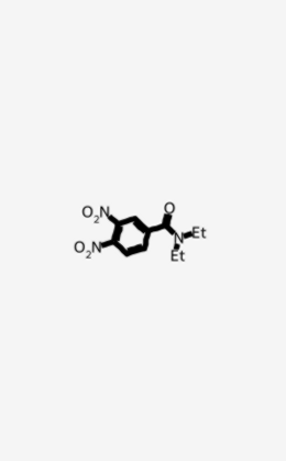 CCN(CC)C(=O)c1ccc([N+](=O)[O-])c([N+](=O)[O-])c1